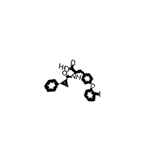 O=C(O)/C(=C/c1ccc(Oc2ccccc2I)cc1)NC(=O)[C@H]1C[C@@H]1c1ccccc1